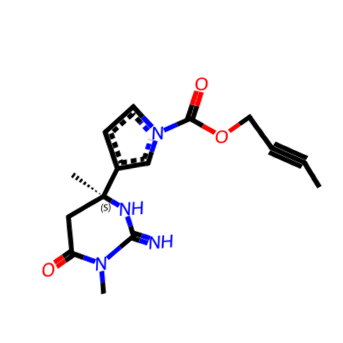 CC#CCOC(=O)n1ccc([C@]2(C)CC(=O)N(C)C(=N)N2)c1